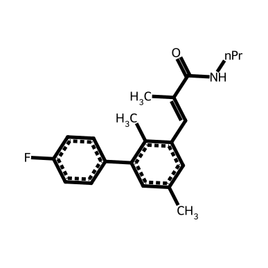 CCCNC(=O)/C(C)=C/c1cc(C)cc(-c2ccc(F)cc2)c1C